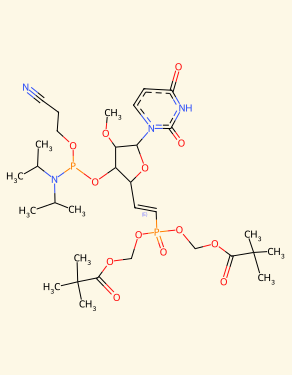 COC1C(OP(OCCC#N)N(C(C)C)C(C)C)C(/C=C/P(=O)(OCOC(=O)C(C)(C)C)OCOC(=O)C(C)(C)C)OC1n1ccc(=O)[nH]c1=O